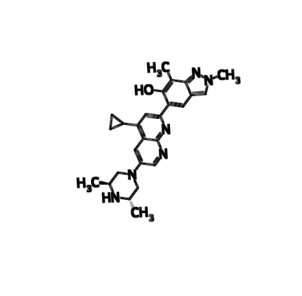 Cc1c(O)c(-c2cc(C3CC3)c3cc(N4C[C@H](C)N[C@@H](C)C4)cnc3n2)cc2cn(C)nc12